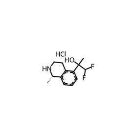 C[C@@H]1NCCc2c1cccc2C(C)(O)C(F)F.Cl